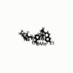 CCc1ccc2c(c1)CCC(C1CC1)N2S(=O)(=O)c1ccc(OCc2nnn(C[Si](C)(C)C)c2C)c(C(=O)OC)c1